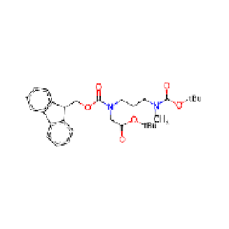 CN(CCCN(CC(=O)OC(C)(C)C)C(=O)OCC1c2ccccc2-c2ccccc21)C(=O)OC(C)(C)C